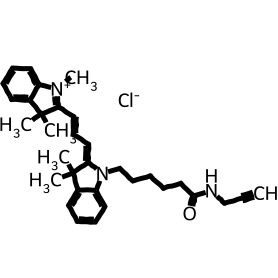 C#CCNC(=O)CCCCCN1/C(=C/C=C/C2=[N+](C)c3ccccc3C2(C)C)C(C)(C)c2ccccc21.[Cl-]